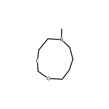 CN1CCCCOCCCC1